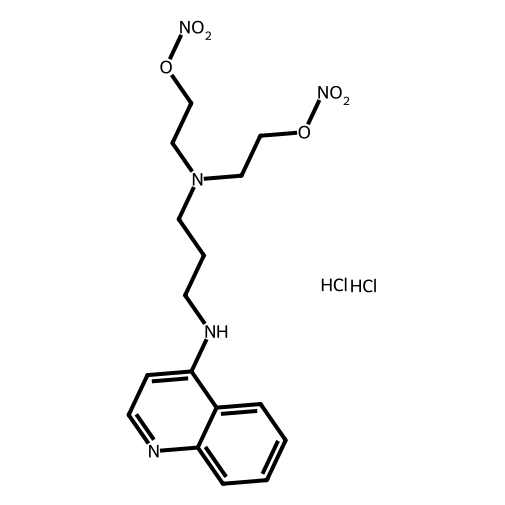 Cl.Cl.O=[N+]([O-])OCCN(CCCNc1ccnc2ccccc12)CCO[N+](=O)[O-]